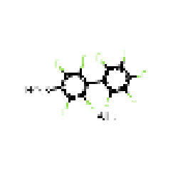 O=S(=O)(O)c1c(F)c(F)c(-c2c(F)c(F)c(F)c(F)c2F)c(F)c1F.[AlH3]